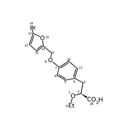 CCO[C@@H](Cc1ccc(OCc2ccc(Br)o2)cc1)C(=O)O